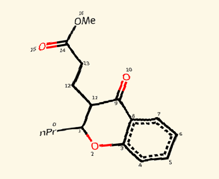 CCCC1Oc2ccccc2C(=O)C1CCC(=O)OC